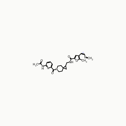 C=N/C=C\c1cc(C(=O)NCC2CC23CCN(C(=O)c2cccc(NC(C)=O)n2)CC3)oc1C